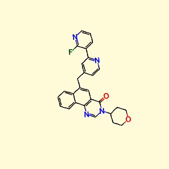 O=c1c2cc(Cc3ccnc(-c4cccnc4F)c3)c3ccccc3c2ncn1C1CCOCC1